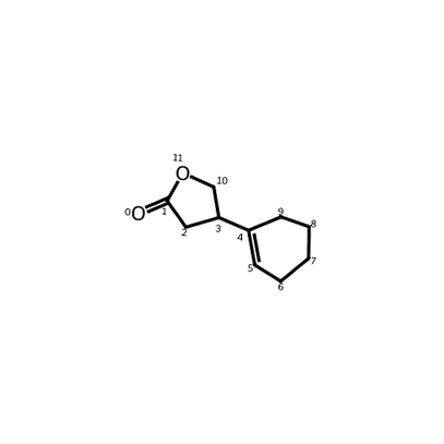 O=C1CC(C2=CCCCC2)CO1